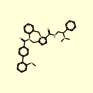 COc1ccccc1-c1ccc(C(=O)N2Cc3ccc(C(=O)NCC(c4ccccc4)N(C)C)n3Cc3ccccc32)cc1